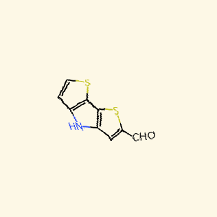 O=Cc1cc2[nH]c3ccsc3c2s1